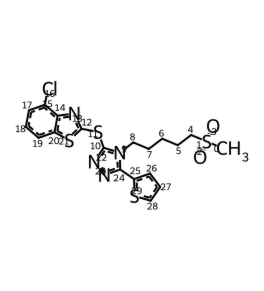 CS(=O)(=O)CCCCCn1c(Sc2nc3c(Cl)cccc3s2)nnc1-c1cccs1